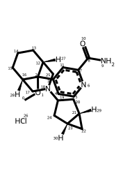 COC1(c2ccnc(C(N)=O)c2)[C@@H]2CCC[C@H]1CN(C1C[C@@H]3C[C@@H]3C1)C2.Cl